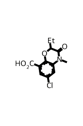 CCC1Oc2c(C(=O)O)cc(Cl)cc2N(C)C1=O